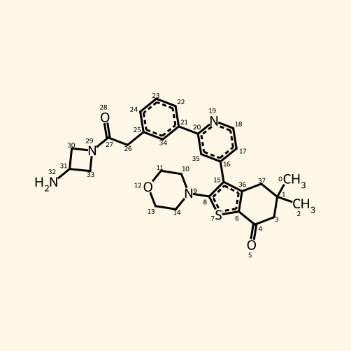 CC1(C)CC(=O)c2sc(N3CCOCC3)c(-c3ccnc(-c4cccc(CC(=O)N5CC(N)C5)c4)c3)c2C1